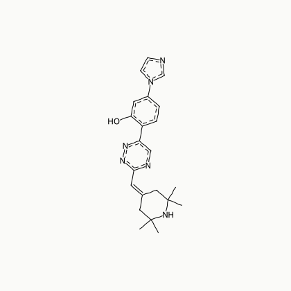 CC1(C)CC(=Cc2ncc(-c3ccc(-n4ccnc4)cc3O)nn2)CC(C)(C)N1